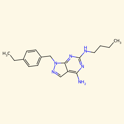 CCCCNc1nc(N)c2cnn(Cc3ccc(CC)cc3)c2n1